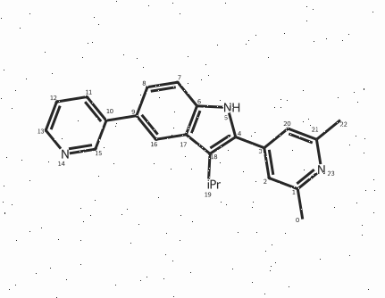 Cc1cc(-c2[nH]c3ccc(-c4cccnc4)cc3c2C(C)C)cc(C)n1